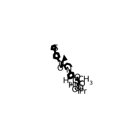 CC(C)S(=O)(=O)NC(=O)C(C)(C)Oc1cccc(N2CCCC(C(=O)N(Cc3ccc(-c4cccs4)cc3)C3CC3)C2)c1